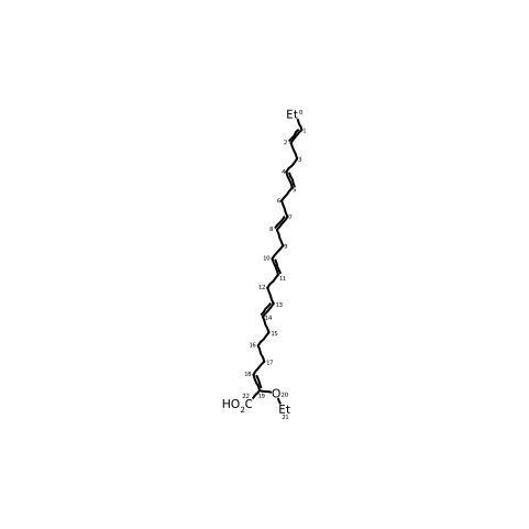 CCC=CCC=CCC=CCC=CCC=CCCCC=C(OCC)C(=O)O